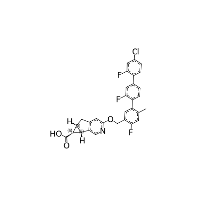 Cc1cc(F)c(COc2cc3c(cn2)[C@H]2[C@@H](C3)[C@@H]2C(=O)O)cc1-c1ccc(-c2ccc(Cl)cc2F)cc1F